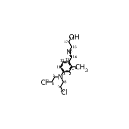 Cc1cc(N(CCCl)CCCl)ccc1/C=N/CCO